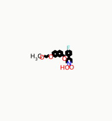 COCCCOc1ccc2ccc(COC3CN(C(=O)O)CCC3c3ccc(F)cc3)cc2c1